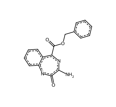 Nc1nc(C(=O)OCc2ccccc2)c2ccccc2nc1=O